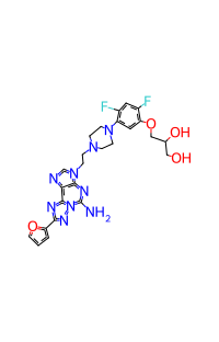 Nc1nc2c(ncn2CCN2CCN(c3cc(OCC(O)CO)c(F)cc3F)CC2)c2nc(-c3ccco3)nn12